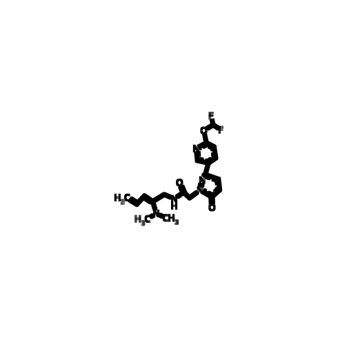 C=C/C=C(/CNC(=O)Cn1nc(-c2ccc(OC(F)F)nc2)ccc1=O)N(C)C